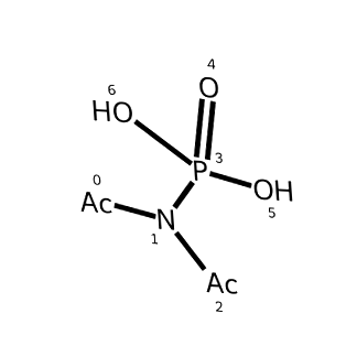 CC(=O)N(C(C)=O)P(=O)(O)O